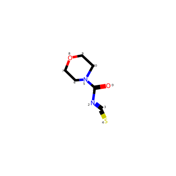 O=C(N=C=S)N1CCOCC1